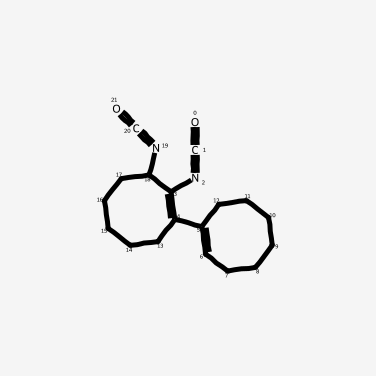 O=C=NC1=C(C2=CCCCCCC2)CCCCCC1N=C=O